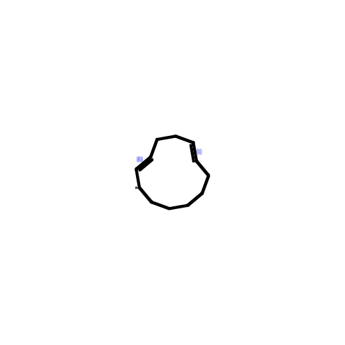 [CH]1/C=C/CC/C=C/CCCCC1